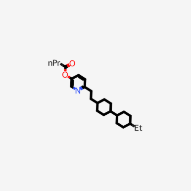 CCCC(=O)Oc1ccc(CCC2CCC(C3CCC(CC)CC3)CC2)nc1